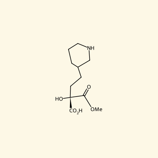 COC(=O)[C@](O)(CCC1CCCNC1)C(=O)O